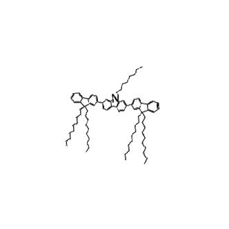 CCCCCCCCCCC1(CCCCCCCCCC)c2ccccc2-c2ccc(-c3ccc4c5ccc(-c6ccc7c(c6)C(CCCCCCCCCC)(CCCCCCCCCC)c6ccccc6-7)cc5n(CCCCCCCC)c4c3)cc21